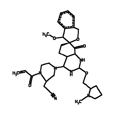 C=CC(=O)N1CCN(C2NC(OCC3CCCN3C)NC3C(=O)[C@@]4(CCC32)OCc2ccccc2C4OC)CC1CC#N